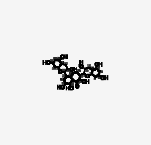 O=c1c(O)c(C2Oc3cc(O)cc(O)c3C[C@H]2O)ccc2c(C3Oc4cc(O)cc(O)c4C[C@H]3O)cc(O)c(O)c12